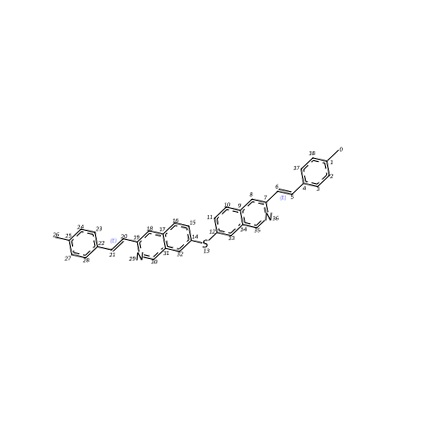 Cc1ccc(/C=C/c2cc3ccc(Sc4ccc5cc(/C=C/c6ccc(C)cc6)ncc5c4)cc3cn2)cc1